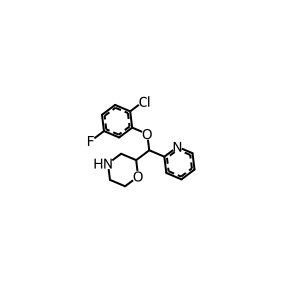 Fc1ccc(Cl)c(OC(c2ccccn2)C2CNCCO2)c1